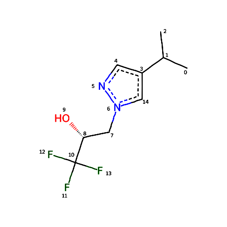 CC(C)c1cnn(C[C@@H](O)C(F)(F)F)c1